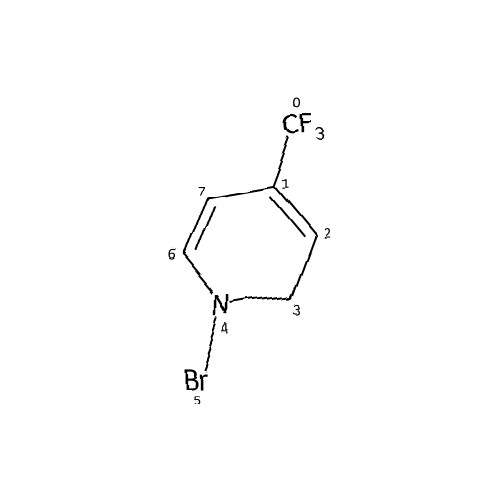 FC(F)(F)C1=CCN(Br)C=C1